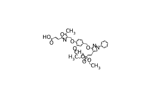 CCOP(=O)(C=Cc1cn(-c2ccccc2)nc1OCc1ccc(OCc2nc(C=CC(=O)O)oc2C)c(OC)c1)OCC